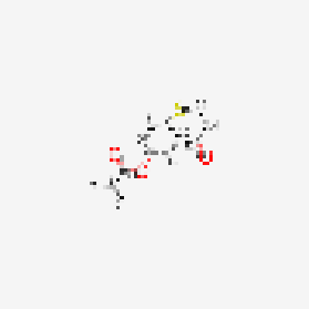 C=C(C)C(=O)Oc1ccc2c(c1)C(=O)CCS2